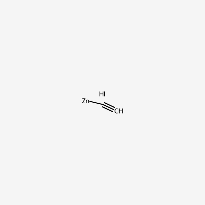 C#[C][Zn].I